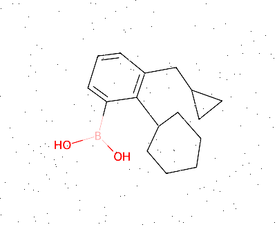 OB(O)c1cccc(CC2CC2)c1C1CCCCC1